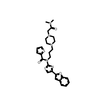 CN(C)C(=O)CN1CCN(CCCN(C(=O)c2cccs2)c2nc(-c3cc4ccccc4o3)cs2)CC1